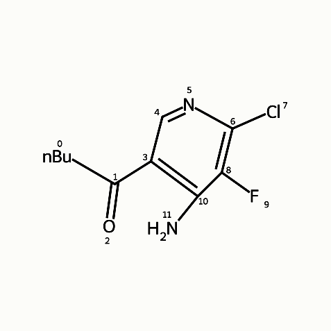 CCCCC(=O)c1cnc(Cl)c(F)c1N